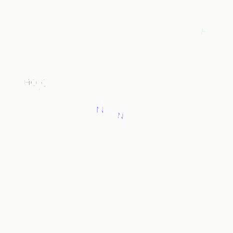 O=C(O)C1CCCc2c1nn(Cc1ccccc1)c2-c1cccc(F)c1